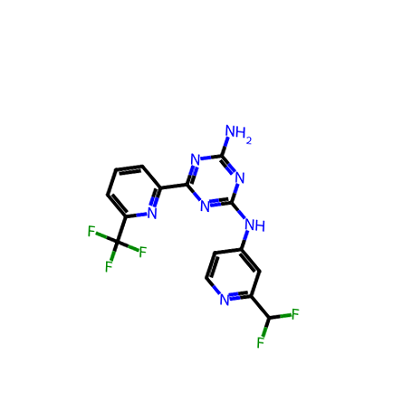 Nc1nc(Nc2ccnc(C(F)F)c2)nc(-c2cccc(C(F)(F)F)n2)n1